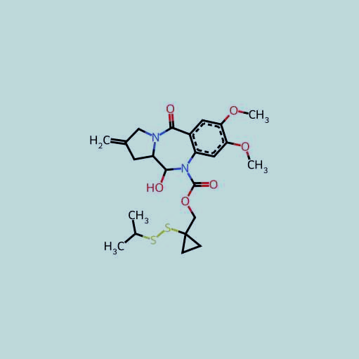 C=C1CC2C(O)N(C(=O)OCC3(SSC(C)C)CC3)c3cc(OC)c(OC)cc3C(=O)N2C1